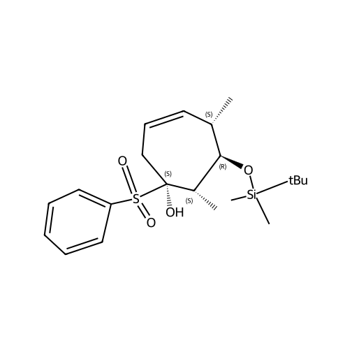 C[C@H]1C=CC[C@](O)(S(=O)(=O)c2ccccc2)[C@@H](C)[C@@H]1O[Si](C)(C)C(C)(C)C